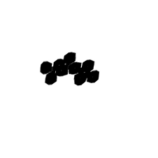 c1ccc(-c2c3ccccc3c(-c3ccc(N(c4ccccc4)c4cccc5c(N(c6ccccc6)c6ccccc6)cccc45)cc3)c3ccccc23)cc1